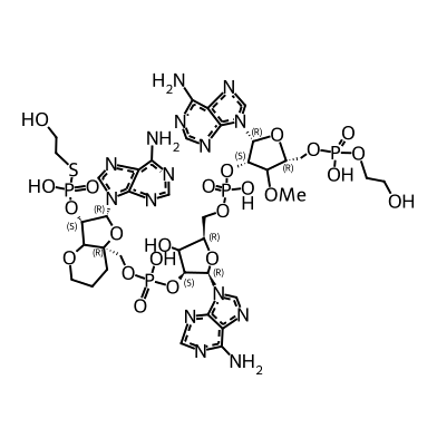 COC1[C@@H](COP(=O)(O)OCCO)O[C@@H](n2cnc3c(N)ncnc32)[C@H]1OP(=O)(O)OC[C@H]1O[C@@H](n2cnc3c(N)ncnc32)[C@@H](OP(=O)(O)OC[C@]23CCCOC2[C@H](OP(=O)(O)SCCO)[C@H](n2cnc4c(N)ncnc42)O3)C1O